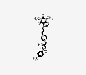 Cn1c(=O)c2c(ncn2CCCN2CCN(CC(O)CS(=O)(=O)c3ccc(C(F)(F)F)cc3)CC2)n(C)c1=O